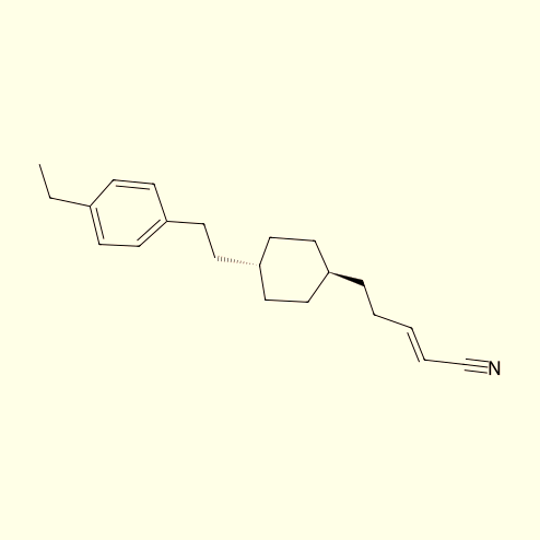 CCc1ccc(CC[C@H]2CC[C@H](CCC=CC#N)CC2)cc1